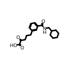 O=C(O)C(=O)CCCc1cccc(C(=O)NCC2CCCCC2)c1